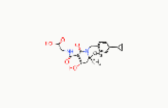 CC1(C)CC(O)=C(C(=O)NCC(=O)O)C(=O)N1Cc1ccc(C2CC2)cc1